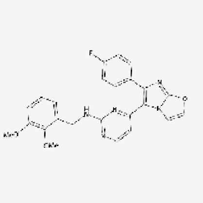 COc1cccc(CNc2nccc(-c3c(-c4ccc(F)cc4)nc4occn34)n2)c1OC